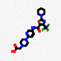 O=C(O)CN1CCN(c2ccc(NC(=O)c3sc(N4CCCCC4)nc3C(F)(F)F)cn2)CC1